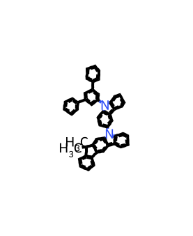 CC1(C)c2ccccc2-c2cc3c4ccccc4n(-c4ccc5c(c4)c4ccccc4n5-c4cc(-c5ccccc5)cc(-c5ccccc5)c4)c3cc21